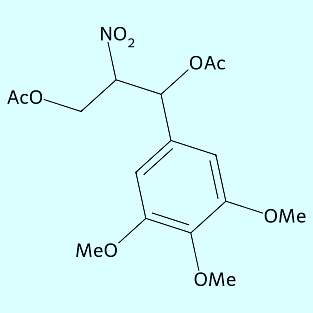 COc1cc(C(OC(C)=O)C(COC(C)=O)[N+](=O)[O-])cc(OC)c1OC